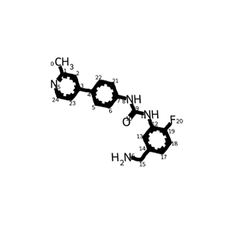 Cc1cc(-c2ccc(NC(=O)Nc3cc(CN)ccc3F)cc2)ccn1